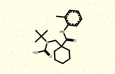 Cc1ccccc1NC(=O)C1(CN(C(=O)O)C(C)(C)C)CCCCC1